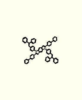 C(=C(c1ccccc1)c1ccccc1)c1ccc(-n2c(-c3ccc(-c4ccccc4)cc3)cc3cc4c(cc(-c5ccc(-c6ccccc6)cc5)n4-c4ccc(C=C(c5ccccc5)c5ccccc5)cc4)cc32)cc1